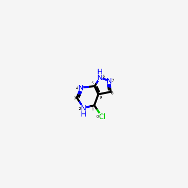 ClC1NC=Nc2[nH]ncc21